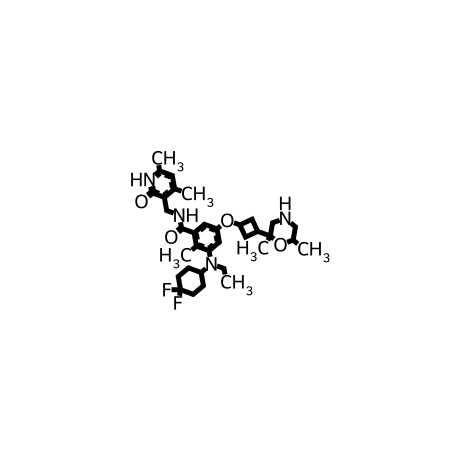 CCN(c1cc(OC2CC(C3(C)CNCC(C)O3)C2)cc(C(=O)NCc2c(C)cc(C)[nH]c2=O)c1C)C1CCC(F)(F)CC1